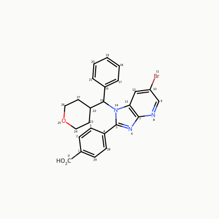 O=C(O)c1ccc(-c2nc3ncc(Br)cc3n2C(c2ccccc2)C2CCOCC2)cc1